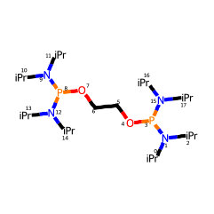 CC(C)N(C(C)C)P(OCCOP(N(C(C)C)C(C)C)N(C(C)C)C(C)C)N(C(C)C)C(C)C